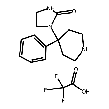 O=C(O)C(F)(F)F.O=C1NCCN1C1(c2ccccc2)CCNCC1